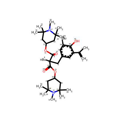 C=C(C)c1cc(CC(CCCC)(C(=O)OC2CC(C)(C)N(C)C(C)(C)C2)C(=O)OC2CC(C)(C)N(C)C(C)(C)C2)cc(C(C)(C)C)c1O